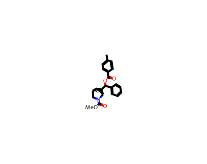 COC(=O)N1CC2C=CC1C(C(OC(=O)c1ccc(C)cc1)c1ccccc1)C2